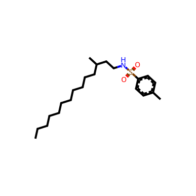 CCCCCCCCCCCC(C)CCNS(=O)(=O)c1ccc(C)cc1